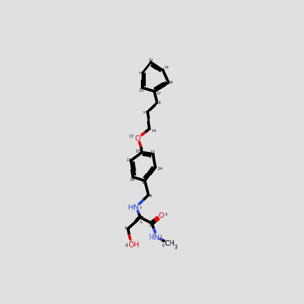 CNC(=O)C(CO)NCc1ccc(OCCCc2ccccc2)cc1